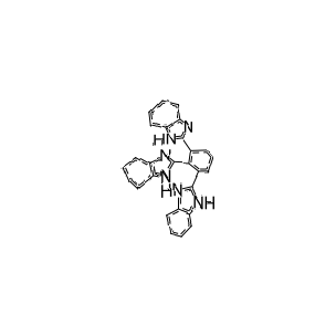 c1cc(-c2nc3ccccc3[nH]2)c(-c2nc3ccccc3[nH]2)c(-c2nc3ccccc3[nH]2)c1